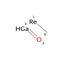 [CH3][Re].[O]=[GaH]